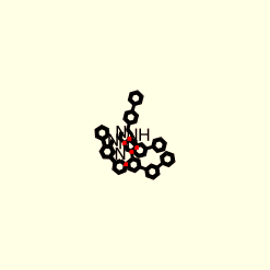 c1ccc(-c2ccc(C3N=C(n4c5ccccc5c5ccc6c7ccccc7n(-c7ccccc7-c7cccc(-c8cccc(-c9ccccc9)c8)c7)c6c54)N=C(c4cccc(-c5ccccc5)c4)N3)cc2)cc1